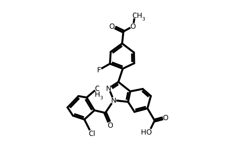 COC(=O)c1ccc(-c2nn(C(=O)c3c(C)cccc3Cl)c3cc(C(=O)O)ccc23)c(F)c1